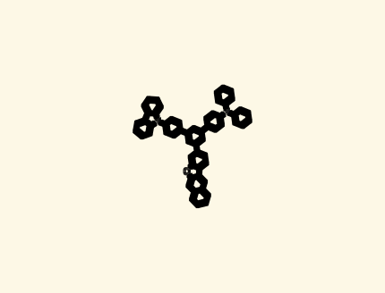 c1ccc(N(c2ccccc2)c2ccc(-c3cc(-c4ccc(-n5c6ccccc6c6ccccc65)cc4)cc(-c4ccc5c(c4)oc4cc6ccccc6cc45)c3)cc2)cc1